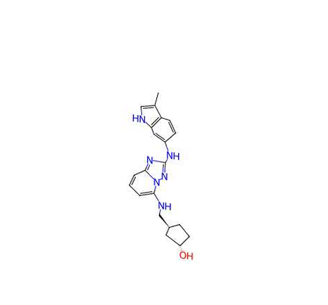 Cc1c[nH]c2cc(Nc3nc4cccc(NC[C@H]5CC[C@H](O)C5)n4n3)ccc12